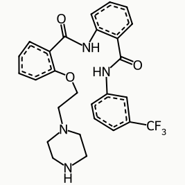 O=C(Nc1cccc(C(F)(F)F)c1)c1ccccc1NC(=O)c1ccccc1OCCN1CCNCC1